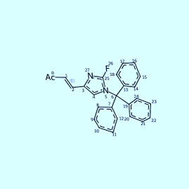 CC(=O)/C=C/c1cn(C(c2ccccc2)(c2ccccc2)c2ccccc2)c(F)n1